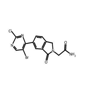 NC(=O)CN1Cc2ccc(-c3nc(Cl)ncc3Br)cc2C1=O